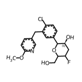 COc1ccc(Cc2cc(C3OC(CO)C(F)C[C@@H]3O)ccc2Cl)cn1